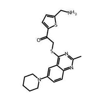 Cc1nc(SCC(=O)c2ccc(CN)s2)c2cc(N3CCCCC3)ccc2n1